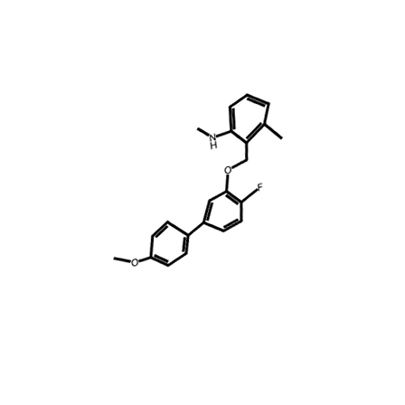 CNc1cccc(C)c1COc1cc(-c2ccc(OC)cc2)ccc1F